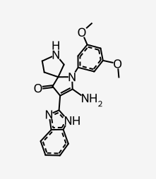 COc1cc(OC)cc(N2C(N)=C(c3nc4ccccc4[nH]3)C(=O)C23CCNC3)c1